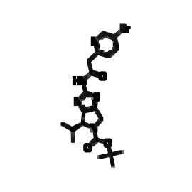 CC(C)[C@H]1c2nc(NC(=O)Cc3ccc(Br)cn3)sc2CN1C(=O)OC(C)(C)C